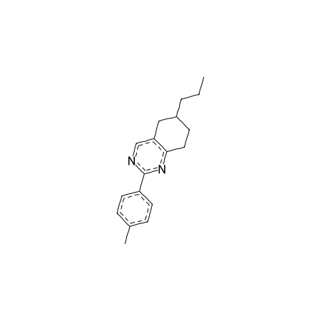 CCCC1CCc2nc(-c3ccc(C)cc3)ncc2C1